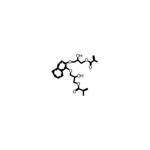 C=C(C)C(=O)OCC(O)COc1ccc2ccccc2c1OCC(O)COC(=O)C(=C)C